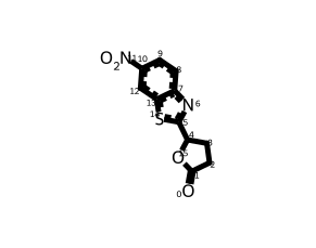 O=C1CCC(c2nc3ccc([N+](=O)[O-])cc3s2)O1